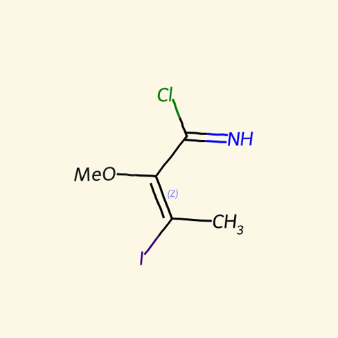 CO/C(C(=N)Cl)=C(/C)I